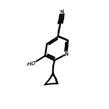 N#Cc1cnc(C2CC2)c(O)c1